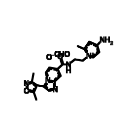 Cc1noc(C)c1-c1cnc2cc(C(=O)NCC[n+]3ccc(N)cc3C)ccn12.O=C[O-]